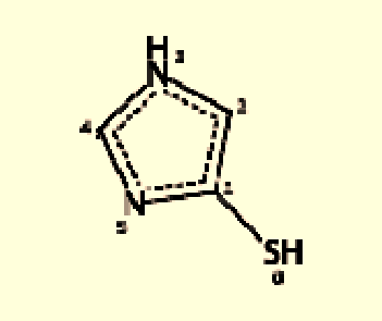 Sc1c[nH][c]n1